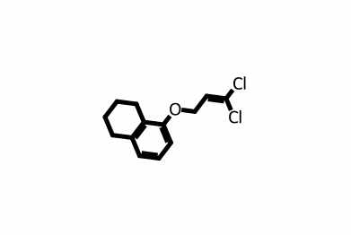 ClC(Cl)=CCOc1cccc2c1CCCC2